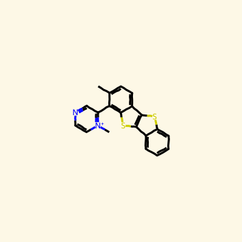 Cc1ccc2c(sc3c4ccccc4sc23)c1-c1cncc[n+]1C